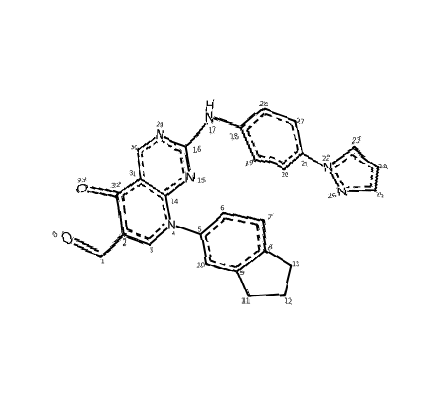 O=Cc1cn(-c2ccc3c(c2)CCC3)c2nc(Nc3ccc(-n4cccn4)cc3)ncc2c1=O